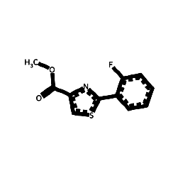 COC(=O)c1csc(-c2ccccc2F)n1